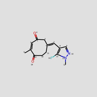 C/C1=C/C(=O)C/C(=C/c2cnn(C)c2F)CCC1=O